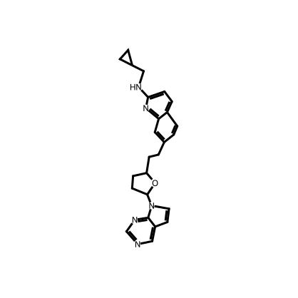 c1ncc2ccn(C3CCC(CCc4ccc5ccc(NCC6CC6)nc5c4)O3)c2n1